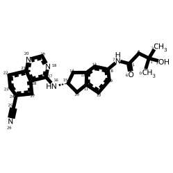 CC(C)(O)CC(=O)Nc1ccc2c(c1)C[C@@H](Nc1ncnc3ccc(C#N)cc13)C2